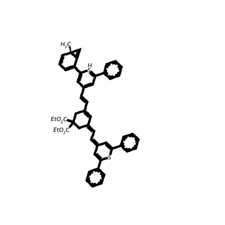 CCOC(=O)C1(C(=O)OCC)CC(/C=C/C2=CC(c3ccccc3)=[SH]C(C3=CC=C[C@]4(C)C=C34)=C2)=CC(=C/C=C2C=C(c3ccccc3)SC(c3ccccc3)=C2)/C1